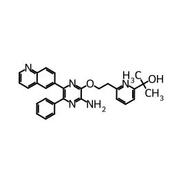 CC(C)(O)c1cccc(CCOc2nc(-c3ccc4ncccc4c3)c(-c3ccccc3)nc2N)n1